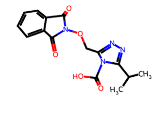 CC(C)c1nnc(CON2C(=O)c3ccccc3C2=O)n1C(=O)O